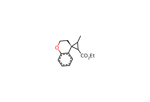 CCOC(=O)C1C(C)[C@]12CCOc1ccccc12